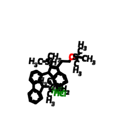 C[SiH](C)C1=C(CCO[Si](C)(C)C)c2ccccc2C1c1cccc2c1[CH]([Zr]([CH3])([CH3])=[SiH2])c1ccccc1-2.Cl.Cl